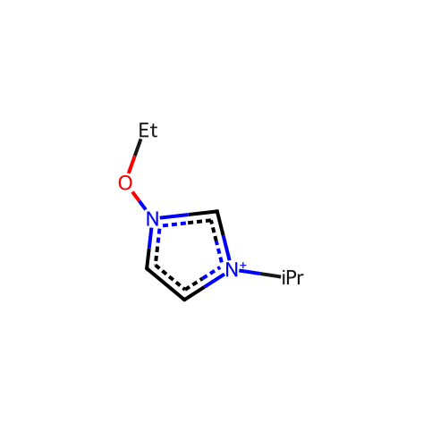 CCOn1cc[n+](C(C)C)c1